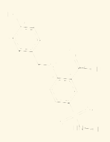 CNS(=O)(=O)c1ccc(SCc2ccc(C)cc2)c(C(=O)O)c1